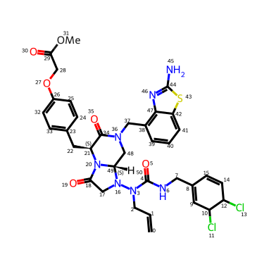 C=CCN(C(=O)NCC1=CC(Cl)C(Cl)C=C1)N1CC(=O)N2[C@@H](Cc3ccc(OCC(=O)OC)cc3)C(=O)N(Cc3cccc4sc(N)nc34)C[C@@H]21